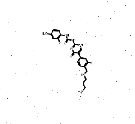 Cc1ccc(NC(=O)Nc2nc(=O)c(-c3ccc(CNCCCN)c(F)c3)c[nH]2)c(Cl)c1